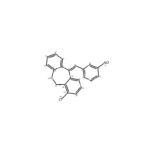 O=Nc1cccc(/C=C2/c3ccccc3OCc3c(Cl)cccc32)c1